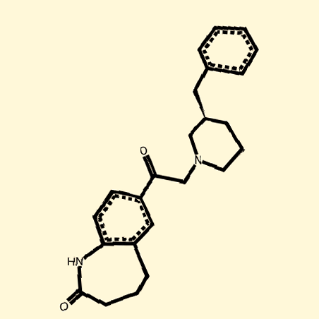 O=C1CCCc2cc(C(=O)CN3CCC[C@H](Cc4ccccc4)C3)ccc2N1